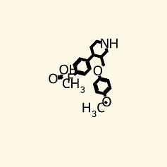 CC(=O)O.COc1ccc(OCC2CNCCC2c2ccc(F)cc2)cc1